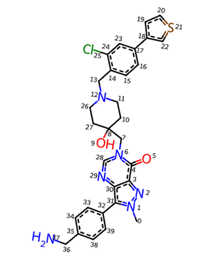 Cn1nc2c(=O)n(CC3(O)CCN(Cc4ccc(-c5ccsc5)cc4Cl)CC3)cnc2c1-c1ccc(CN)cc1